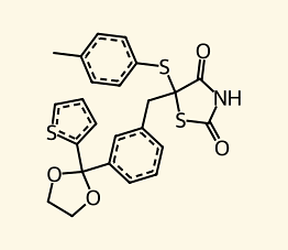 Cc1ccc(SC2(Cc3cccc(C4(c5cccs5)OCCO4)c3)SC(=O)NC2=O)cc1